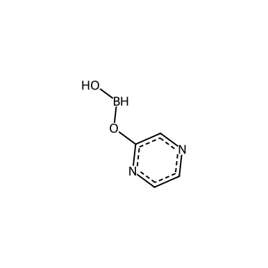 OBOc1cnccn1